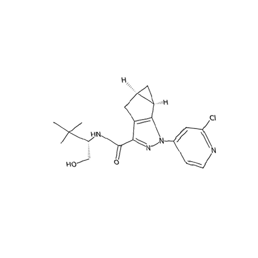 CC(C)(C)[C@@H](CO)NC(=O)c1nn(-c2ccnc(Cl)c2)c2c1C[C@H]1C[C@@H]21